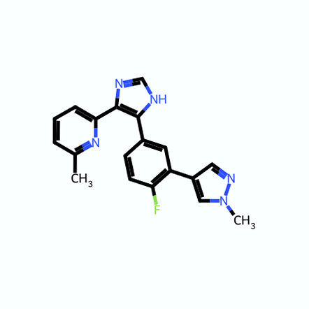 Cc1cccc(-c2nc[nH]c2-c2ccc(F)c(-c3cnn(C)c3)c2)n1